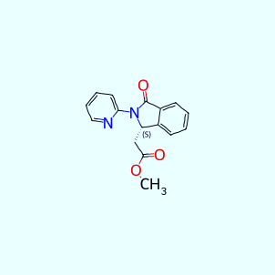 COC(=O)C[C@H]1c2ccccc2C(=O)N1c1ccccn1